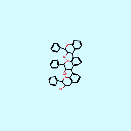 OC1Cc2cccc(C3c4cccc(C5c6ccccc6OC(c6ccccc6)C5O)c4OC(c4ccccc4)C3O)c2OC1c1ccccc1